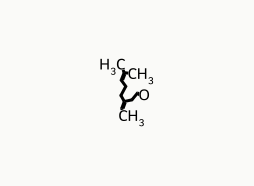 CC=C(CC=O)CCC=C(C)C